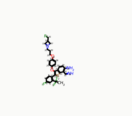 CC(F)(F)c1cc(F)ccc1-c1sc2c(C=N)c(N)ccc2c1Oc1ccc(OCCCN2CC(CF)C2)cc1